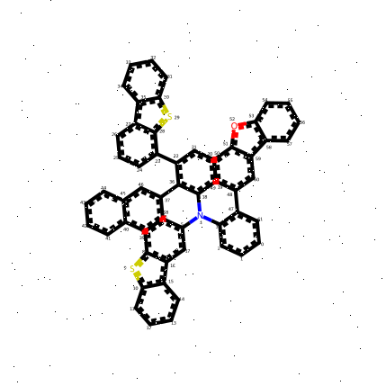 c1ccc(N(c2ccc3sc4ccccc4c3c2)c2cccc(-c3cccc4c3sc3ccccc34)c2-c2ccc3ccccc3c2)c(-c2ccc3oc4ccccc4c3c2)c1